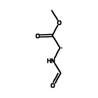 COC(=O)[CH]NC=O